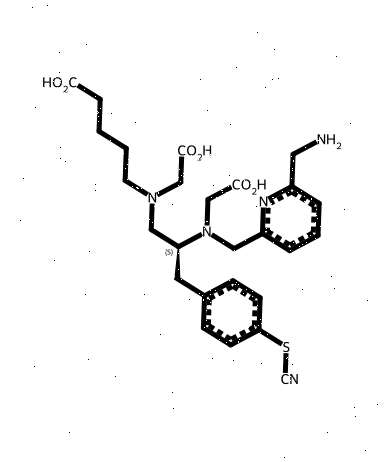 N#CSc1ccc(C[C@@H](CN(CCCCC(=O)O)CC(=O)O)N(CC(=O)O)Cc2cccc(CN)n2)cc1